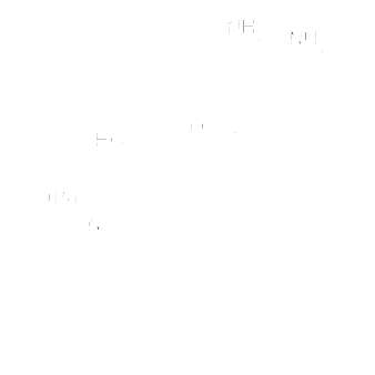 CC(C)(C)N(Cc1ccccc1)CC(O)COc1cccc(N)c1CN